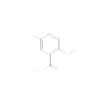 CC(=O)c1cc(Br)ccc1N=O